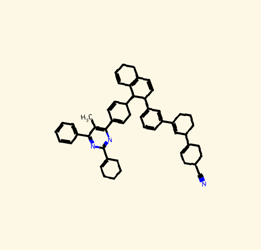 Cc1c(C2=CCC(C3C4=C(C=CC3c3cccc(C5=CC(C6=CCC(C#N)CC6)CCC5)c3)CCC=C4)C=C2)nc(C2=CCCCC2)nc1-c1ccccc1